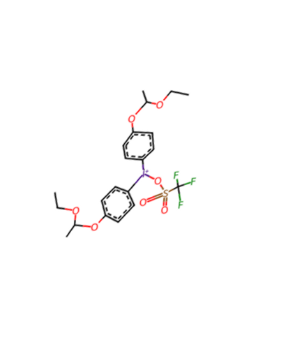 CCOC(C)Oc1ccc([I+](OS(=O)(=O)C(F)(F)F)c2ccc(OC(C)OCC)cc2)cc1